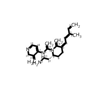 C=C/C(C)=C/C=C1/CC[C@H](CCN)N(C(=C)NC2=CC=NCC2=C)C1=C